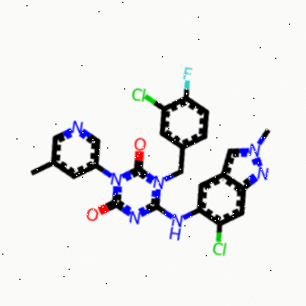 Cc1cncc(-n2c(=O)nc(Nc3cc4cn(C)nc4cc3Cl)n(Cc3ccc(F)c(Cl)c3)c2=O)c1